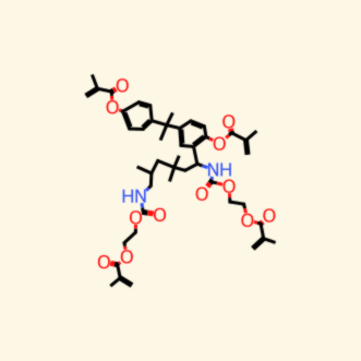 C=C(C)C(=O)OCCOC(=O)NCC(C)CC(C)(C)CC(NC(=O)OCCOC(=O)C(=C)C)c1cc(C(C)(C)c2ccc(OC(=O)C(=C)C)cc2)ccc1OC(=O)C(=C)C